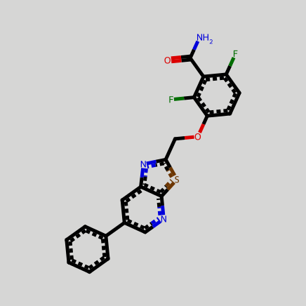 NC(=O)c1c(F)ccc(OCc2nc3cc(-c4ccccc4)cnc3s2)c1F